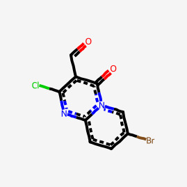 O=Cc1c(Cl)nc2ccc(Br)cn2c1=O